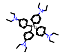 CCN(CC)c1cc[c]([Pb]([c]2ccc(N(CC)CC)cc2)([c]2ccc(N(CC)CC)cc2)[c]2ccc(N(CC)CC)cc2)cc1